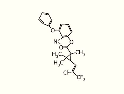 CC1(C)C(C=C(Cl)C(F)(F)F)C1(C)C(=O)Oc1cccc(Oc2ccccc2)c1C#N